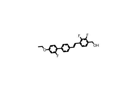 CCOc1ccc(-c2ccc(/C=C/c3ccc(CO)c(F)c3F)cc2)c(F)c1